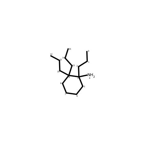 CCCC1(N)CCCCC1(CCC)CCC